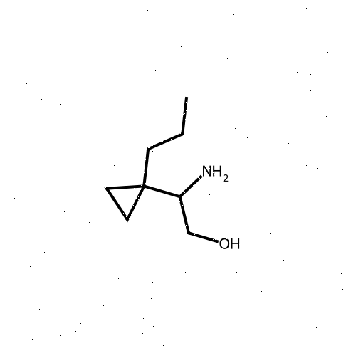 CCCC1(C(N)CO)CC1